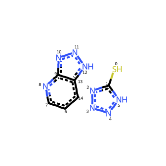 Sc1nnn[nH]1.c1cnc2nn[nH]c2c1